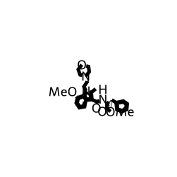 COC(=O)[C@@H](Cc1ccccc1)NC(=O)c1c(C)n(CCN2CCOCC2)c2c(OC)cccc12